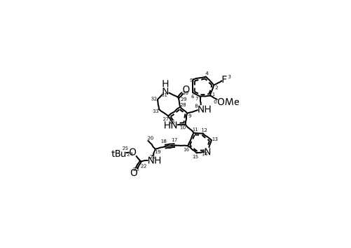 COc1c(F)cccc1Nc1c(-c2ccncc2C#CC(C)NC(=O)OC(C)(C)C)[nH]c2c1C(=O)NCC2